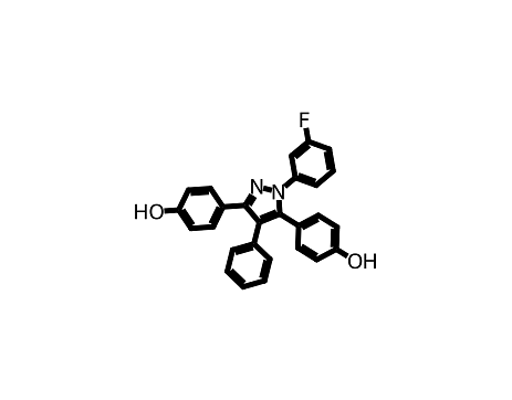 Oc1ccc(-c2nn(-c3cccc(F)c3)c(-c3ccc(O)cc3)c2-c2ccccc2)cc1